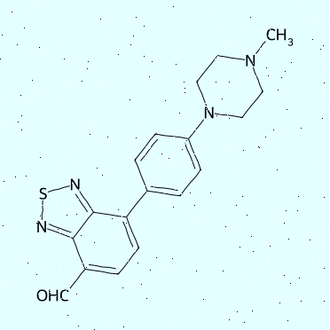 CN1CCN(c2ccc(-c3ccc(C=O)c4nsnc34)cc2)CC1